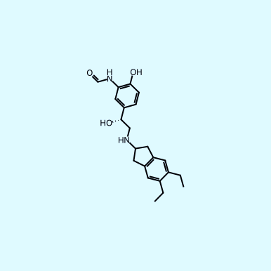 CCc1cc2c(cc1CC)CC(NC[C@H](O)c1ccc(O)c(NC=O)c1)C2